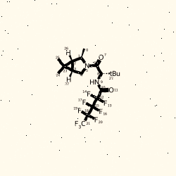 C[C@@H]1[C@@H]2[C@H](CN1C(=O)[C@@H](NC(=O)C(F)(F)C(F)(F)C(F)(F)C(F)(F)F)C(C)(C)C)C2(C)C